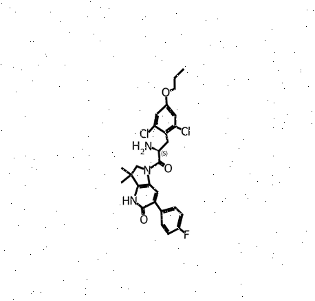 CCCOc1cc(Cl)c(C[C@H](N)C(=O)N2CC(C)(C)c3[nH]c(=O)c(-c4ccc(F)cc4)cc32)c(Cl)c1